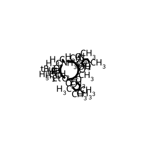 CC[C@H]1OC(=O)[C@H](C)[C@@H](OC2CC(C)(C)[C@@H](C)[C@H](C)O2)[C@H](C)[C@@H](OC2O[C@H](C)C[C@H](N(C)C)[C@H]2C)[C@](C)(O)C[C@@H](C)CN(C)[C@H](C)[C@@H](O[Si](C)(C)C(C)(C)C)[C@]1(C)O